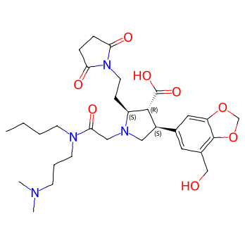 CCCCN(CCCN(C)C)C(=O)CN1C[C@H](c2cc(CO)c3c(c2)OCO3)[C@@H](C(=O)O)[C@@H]1CCN1C(=O)CCC1=O